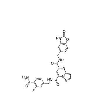 NC(=O)c1ccc(CNC(=O)c2cc(C(=O)NCc3ccc4oc(=O)[nH]c4c3)nc3ccnn23)cc1F